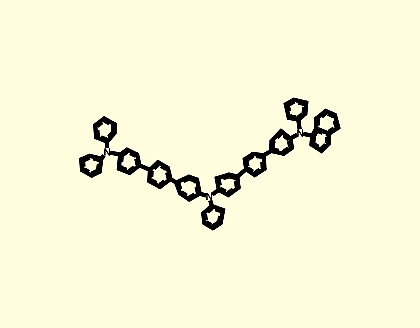 c1ccc(N(c2ccccc2)c2ccc(-c3ccc(-c4ccc(N(c5ccccc5)c5ccc(-c6ccc(-c7ccc(N(c8ccccc8)c8cccc9ccccc89)cc7)cc6)cc5)cc4)cc3)cc2)cc1